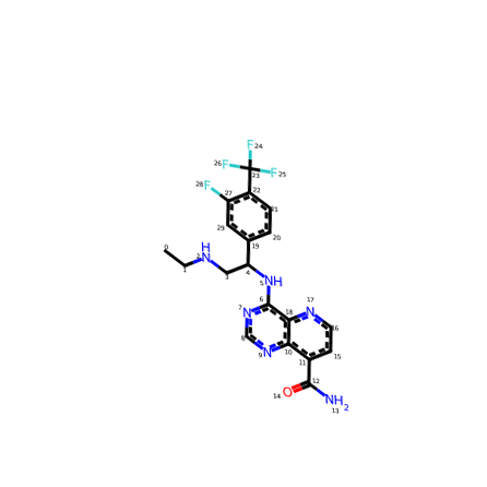 CCNCC(Nc1ncnc2c(C(N)=O)ccnc12)c1ccc(C(F)(F)F)c(F)c1